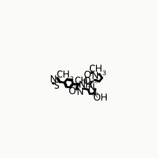 CC(=O)N1CCC[C@H]1C(=O)N1C[C@H](O)CC1C1=NC(=O)[C@](C)(c2ccc(-c3scnc3C)cc2)N1